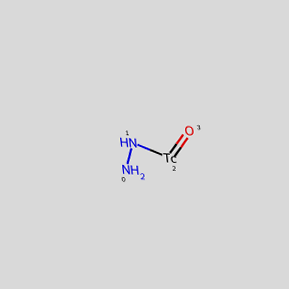 N[NH][Tc]=[O]